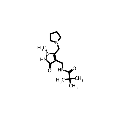 Cn1[nH]c(=O)c(CNC(=O)C(C)(C)C)c1CN1CCCC1